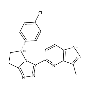 Cc1n[nH]c2ccc(-c3nnc4n3[C@@H](c3ccc(Cl)cc3)CC4)nc12